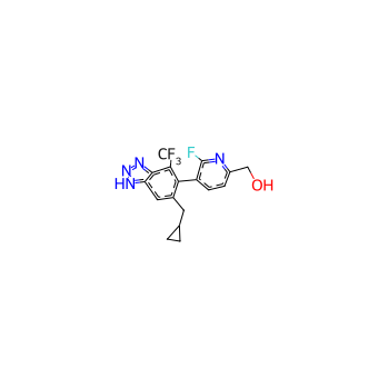 OCc1ccc(-c2c(CC3CC3)cc3[nH]nnc3c2C(F)(F)F)c(F)n1